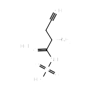 C#CC[C@H](N)C(=O)NS(C)(=O)=O.Cl